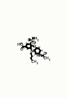 CCCCNc1cc(C(=O)O)cc(S(N)(=O)=O)c1Oc1ccc(NC(C)=O)cc1